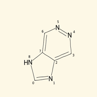 c1nc2cnncc2[nH]1